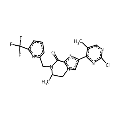 Cc1cnc(Cl)nc1-c1cn2c(n1)C(=O)N(Cc1cccc(C(F)(F)F)n1)C(C)C2